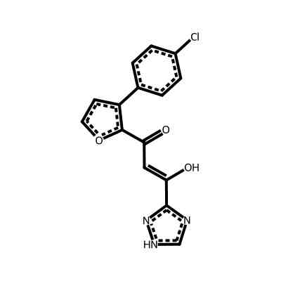 O=C(C=C(O)c1nc[nH]n1)c1occc1-c1ccc(Cl)cc1